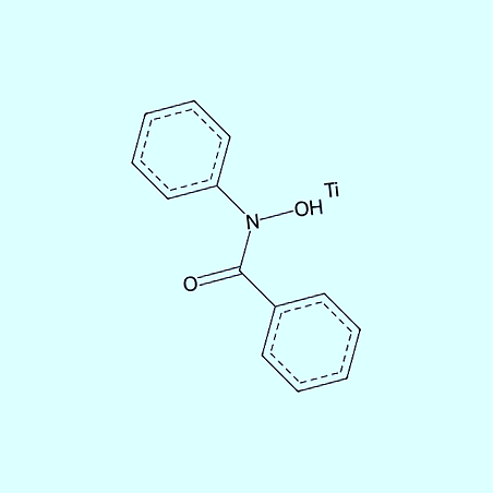 O=C(c1ccccc1)N(O)c1ccccc1.[Ti]